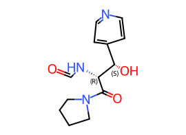 O=CN[C@@H](C(=O)N1CCCC1)[C@@H](O)c1ccncc1